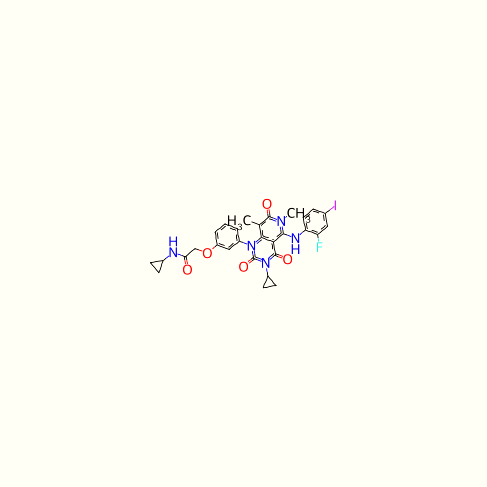 Cc1c(=O)n(C)c(Nc2ccc(I)cc2F)c2c(=O)n(C3CC3)c(=O)n(-c3cccc(OCC(=O)NC4CC4)c3)c12